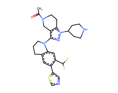 CC(=O)N1CCc2c(c(N3CCCc4cc(-c5cncs5)c(C(F)F)cc43)nn2C2CCNCC2)C1